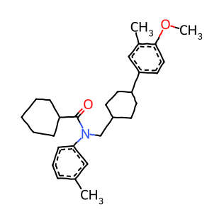 COc1ccc(C2CCC(CN(C(=O)C3CCCCC3)c3cccc(C)c3)CC2)cc1C